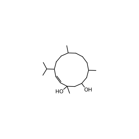 CC1CCCC(C)CC(O)CC(C)(O)C=CC(C(C)C)CC1